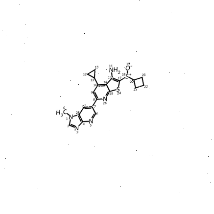 Cn1cnc2ncc(-c3cc(C4CC4)c4c(N)c([S+]([O-])C5CCC5)sc4n3)cc21